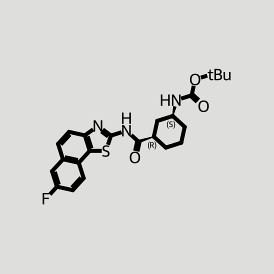 CC(C)(C)OC(=O)N[C@H]1CCC[C@@H](C(=O)Nc2nc3ccc4cc(F)ccc4c3s2)C1